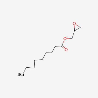 CC(C)(C)CCCCCCCC(=O)OCC1CO1